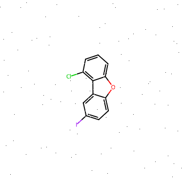 Clc1cccc2oc3ccc(I)cc3c12